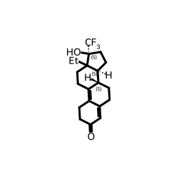 CCC12CCC3=C4CCC(=O)C=C4CC[C@H]3[C@@H]1CC[C@@]2(O)C(F)(F)F